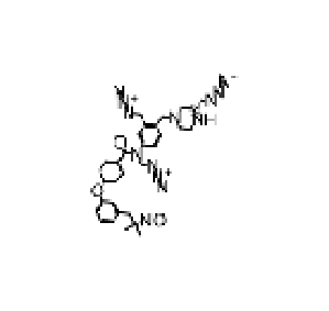 CC(C)(Cc1cccc(OC2CCC(C(=O)N(CN=[N+]=[N-])c3ccc(CN4CCN[C@@H](CN=[N+]=[N-])C4)c(CN=[N+]=[N-])c3)CC2)c1)N=O